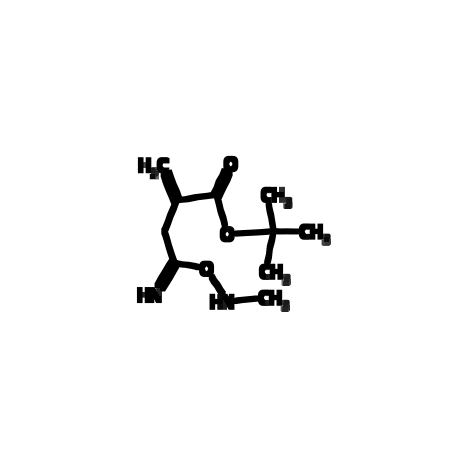 C=C(CC(=N)ONC)C(=O)OC(C)(C)C